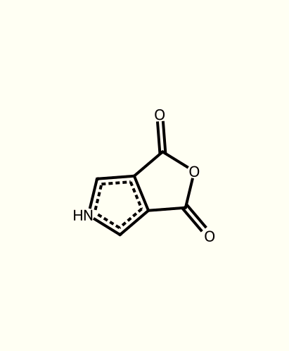 O=C1OC(=O)c2c[nH]cc21